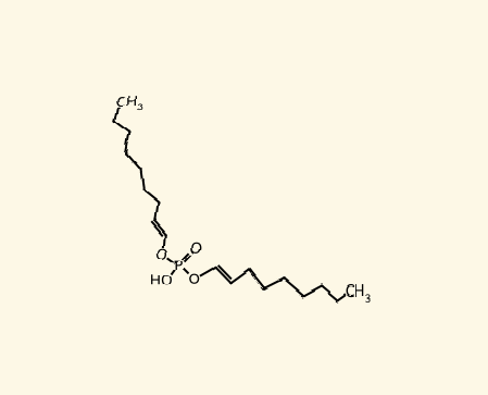 CCCCCCCC=COP(=O)(O)OC=CCCCCCCC